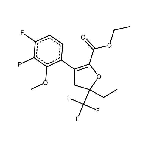 CCOC(=O)C1=C(c2ccc(F)c(F)c2OC)CC(CC)(C(F)(F)F)O1